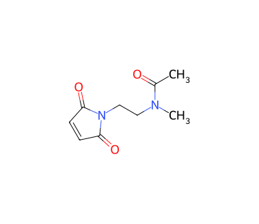 CC(=O)N(C)CCN1C(=O)C=CC1=O